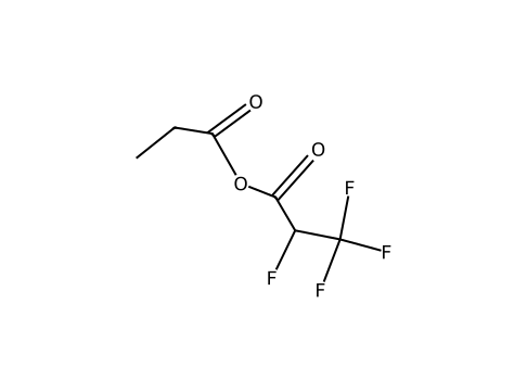 CCC(=O)OC(=O)C(F)C(F)(F)F